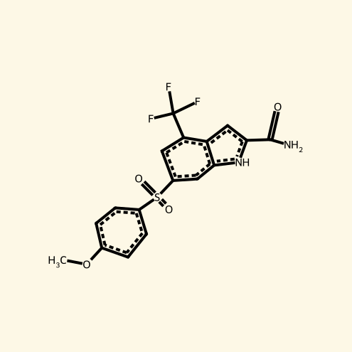 COc1ccc(S(=O)(=O)c2cc(C(F)(F)F)c3cc(C(N)=O)[nH]c3c2)cc1